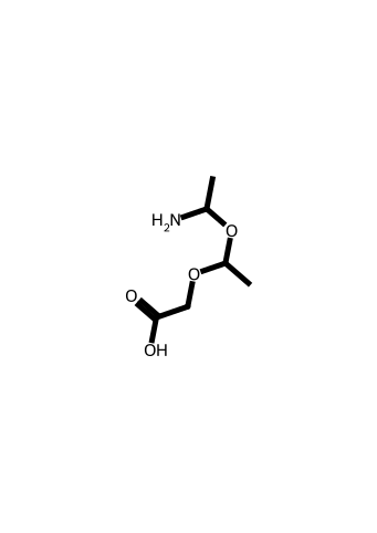 CC(N)OC(C)OCC(=O)O